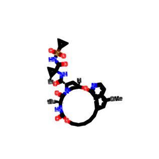 CC[C@@H]1C[C@]1(NC(=O)[C@@H]1C[C@@H]2CN1C(=O)[C@H](C(C)(C)C)NC(=O)OCCCCCc1cc(OC)c3ccnc(c3c1)O2)C(=O)NS(=O)(=O)C1CC1